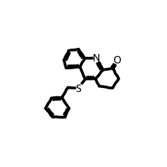 O=C1CCCc2c1nc1ccccc1c2SCc1ccccc1